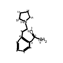 NC(=O)c1[c]cccc1CCN1CCCC1